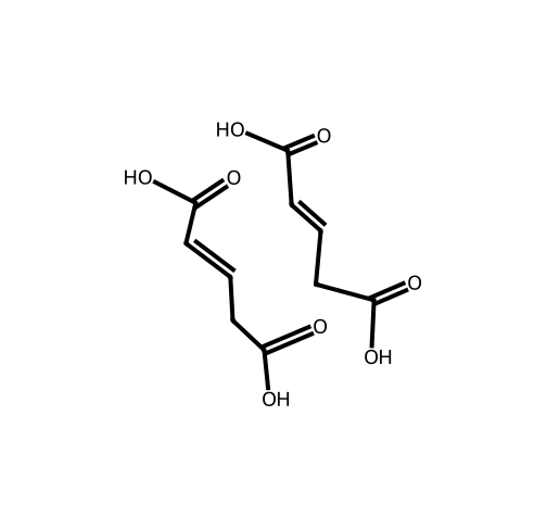 O=C(O)C=CCC(=O)O.O=C(O)C=CCC(=O)O